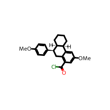 COc1ccc([C@@H]2Cc3c(C(=O)Cl)cc(OC)cc3[C@@H]3CCCC[C@H]23)cc1